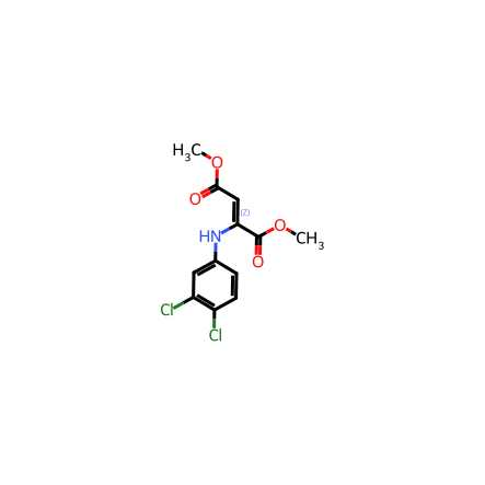 COC(=O)/C=C(\Nc1ccc(Cl)c(Cl)c1)C(=O)OC